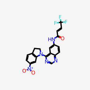 O=C(/C=C/C(F)(F)F)Nc1ccc2ncnc(N3CCc4ccc([N+](=O)[O-])cc43)c2c1